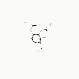 COc1ccc(CC(=O)O)c(CC(=O)O)c1I